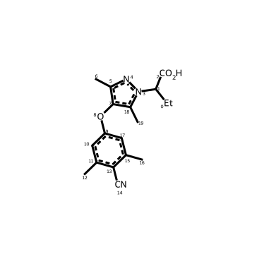 CCC(C(=O)O)n1nc(C)c(Oc2cc(C)c(C#N)c(C)c2)c1C